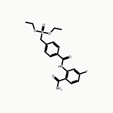 CCOP(=O)(Cc1ccc(C(=O)Nc2cc(F)ccc2C(N)=O)cc1)OCC